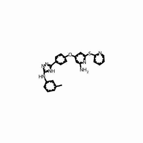 Cc1cccc(Nc2nnc(-c3ccc(Oc4cc(N)nc(Sc5ccccn5)c4)cc3)[nH]2)c1